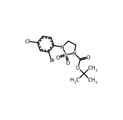 CC(C)(C)OC(=O)N1CCN(c2ccc(Cl)cc2Br)S1(=O)=O